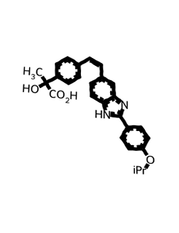 CC(C)Oc1ccc(-c2nc3cc(/C=C\c4ccc(C(C)(O)C(=O)O)cc4)ccc3[nH]2)cc1